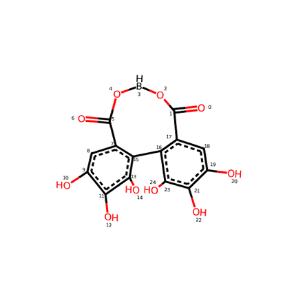 O=C1OBOC(=O)c2cc(O)c(O)c(O)c2-c2c1cc(O)c(O)c2O